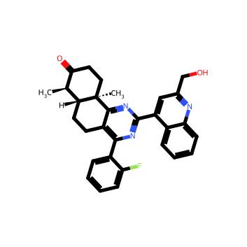 C[C@H]1C(=O)CC[C@@]2(C)c3nc(-c4cc(CO)nc5ccccc45)nc(-c4ccccc4F)c3CC[C@H]12